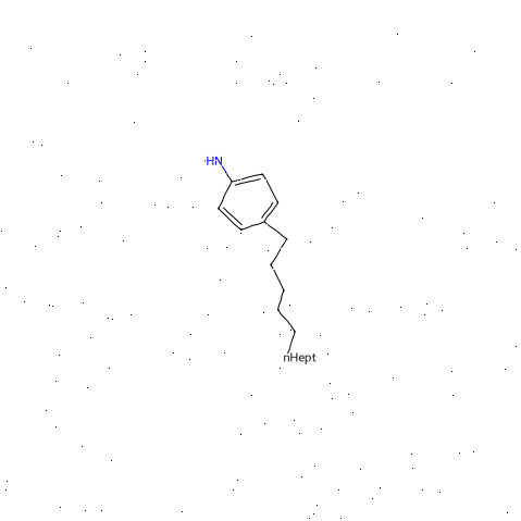 CCCCCCCCCCCCc1ccc([NH])cc1